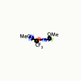 COc1cc(F)cc(CCNCCOc2cc(-c3cnc(OC)nc3)cc(C(F)(F)F)c2)c1